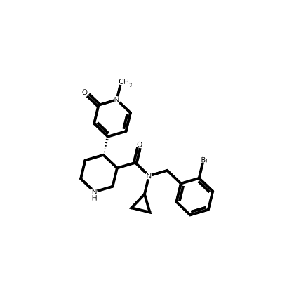 Cn1ccc([C@H]2CCNCC2C(=O)N(Cc2ccccc2Br)C2CC2)cc1=O